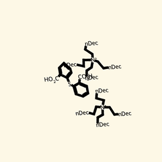 CCCCCCCCCCCC[N+](CCCCCCCCCCCC)(CCCCCCCCCCCC)CCCCCCCCCCCC.CCCCCCCCCCCC[N+](CCCCCCCCCCCC)(CCCCCCCCCCCC)CCCCCCCCCCCC.O=C(O)c1ccccc1Sc1ccccc1C(=O)O